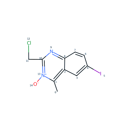 Cc1c2cc(I)ccc2nc(CCl)[n+]1[O-]